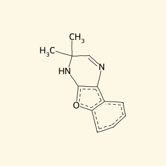 CC1(C)C=Nc2c(oc3ccccc23)N1